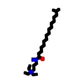 CC[N+](CC)(CC)CCCNC(=O)CCCCCCCCCCCCCCC(C)C